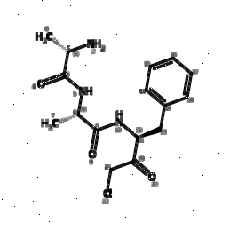 C[C@H](N)C(=O)N[C@@H](C)C(=O)N[C@@H](Cc1ccccc1)C(=O)CCl